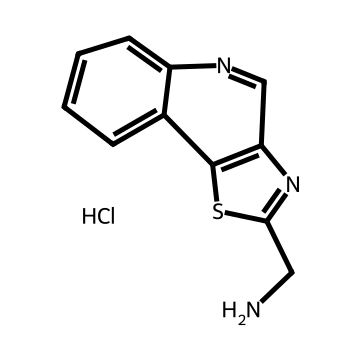 Cl.NCc1nc2cnc3ccccc3c2s1